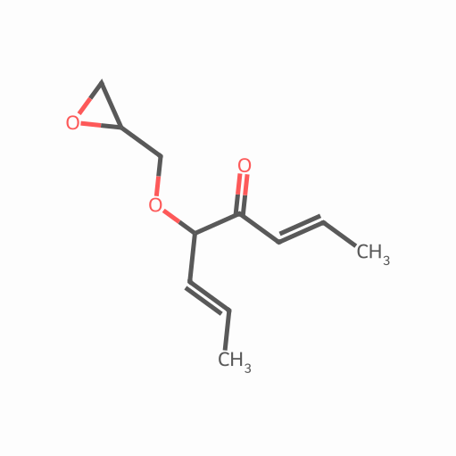 CC=CC(OCC1CO1)C(=O)/C=C/C